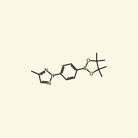 Cc1cnn(-c2ccc(B3OC(C)(C)C(C)(C)O3)cc2)n1